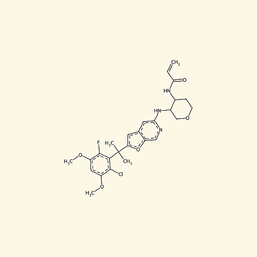 C=CC(=O)NC1CCOCC1Nc1cc2cc(C(C)(C)c3c(F)c(OC)cc(OC)c3Cl)oc2cn1